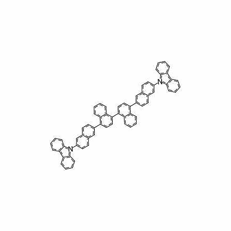 c1ccc2c(-c3ccc(-c4ccc5cc(-n6c7ccccc7c7ccccc76)ccc5c4)c4ccccc34)ccc(-c3ccc4cc(-n5c6ccccc6c6ccccc65)ccc4c3)c2c1